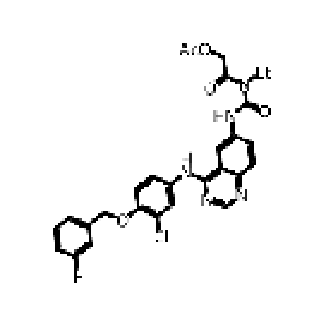 CCN(C(=O)COC(C)=O)C(=O)Nc1ccc2ncnc(Nc3ccc(OCc4cccc(F)c4)c(Cl)c3)c2c1